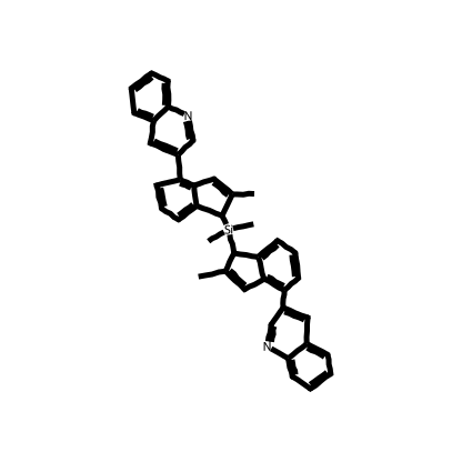 CC1=Cc2c(-c3cnc4ccccc4c3)cccc2C1[Si](C)(C)C1C(C)=Cc2c(-c3cnc4ccccc4c3)cccc21